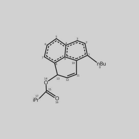 CCCCc1ccc2cccc3c2c1C=CC3OC(=O)C(C)C